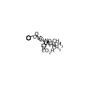 CC(Oc1nc2c(c(N3CCN(C(=O)OCc4ccccc4)CC3)n1)CCN(C(=O)O)C2)C(I)N(C)C